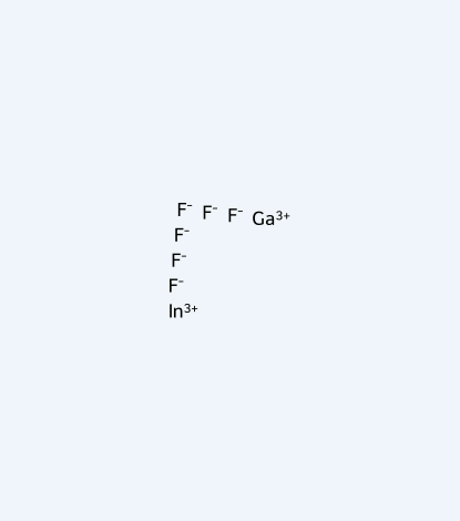 [F-].[F-].[F-].[F-].[F-].[F-].[Ga+3].[In+3]